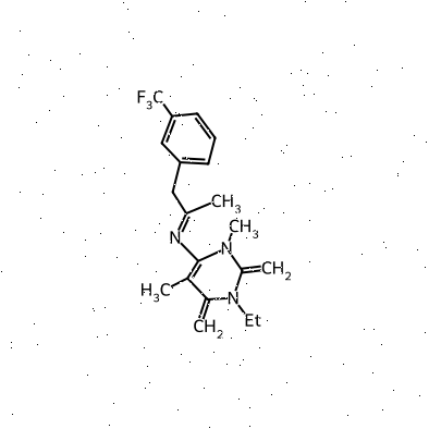 C=C1C(C)=C(/N=C(\C)Cc2cccc(C(F)(F)F)c2)N(C)C(=C)N1CC